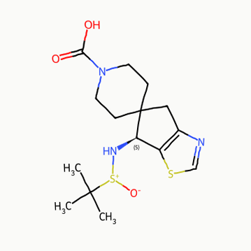 CC(C)(C)[S+]([O-])N[C@@H]1c2scnc2CC12CCN(C(=O)O)CC2